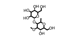 COC1C(O[C@H]2OC(CO)[C@H](O)C(O)C2O)C(C)OC(CO)[C@@H]1O